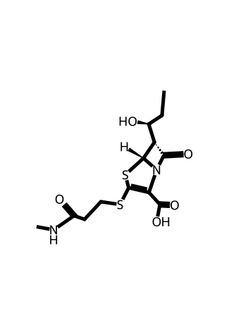 CC[C@H](O)[C@@H]1C(=O)N2C(C(=O)O)=C(SCCC(=O)NC)S[C@H]12